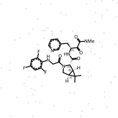 CNC(=O)C(=O)[C@H](Cc1cccnc1)NC(=O)[C@@H]1[C@@H]2[C@H](CN1C(=O)CNc1c(F)cc(F)cc1F)C2(C)C